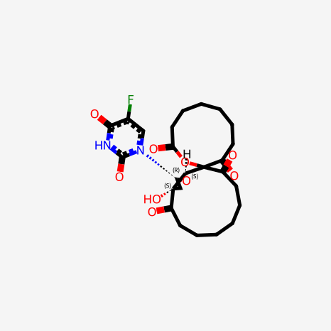 O=C1CCCCCCC(=O)C2(O1)C(=O)CCCCCCC(=O)[C@]1(O)C[C@H](n3cc(F)c(=O)[nH]c3=O)O[C@H]21